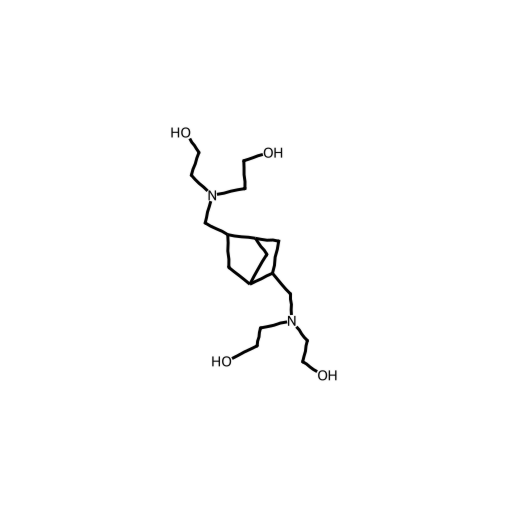 OCCN(CCO)CC1CC2CC1CC2CN(CCO)CCO